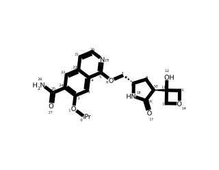 CC(C)Oc1cc2c(OC[C@@H]3C[C@@H](C4(O)COC4)C(=O)N3)nccc2cc1C(N)=O